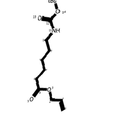 C=CCOC(=O)CCCCCNC(=O)OC(C)(C)C